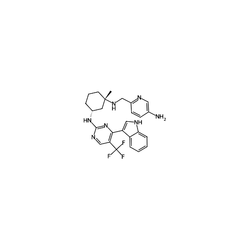 C[C@]1(NCc2ccc(N)cn2)CCC[C@@H](Nc2ncc(C(F)(F)F)c(-c3c[nH]c4ccccc34)n2)C1